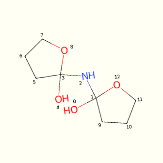 OC1(NC2(O)CCCO2)CCCO1